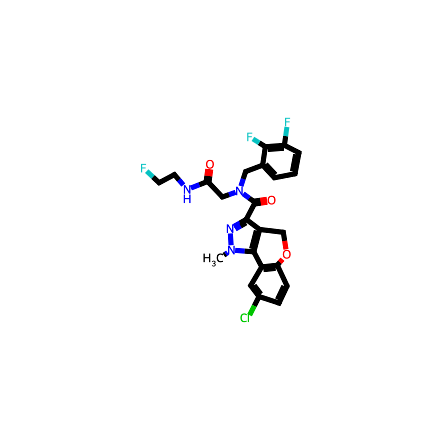 Cn1nc(C(=O)N(CC(=O)NCCF)Cc2cccc(F)c2F)c2c1-c1cc(Cl)ccc1OC2